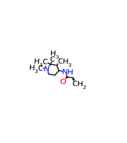 C=CC(=O)NC1CCN(C)C(C)(C)C1C